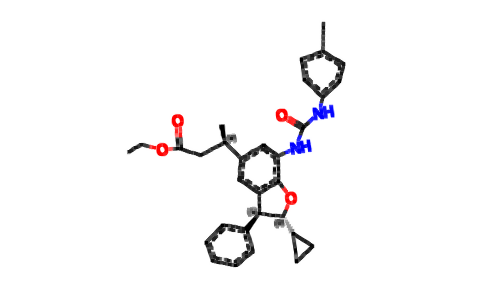 CCOC(=O)C[C@@H](C)c1cc(NC(=O)Nc2ccc(C)cc2)c2c(c1)[C@H](c1ccccc1)[C@@H](C1CC1)O2